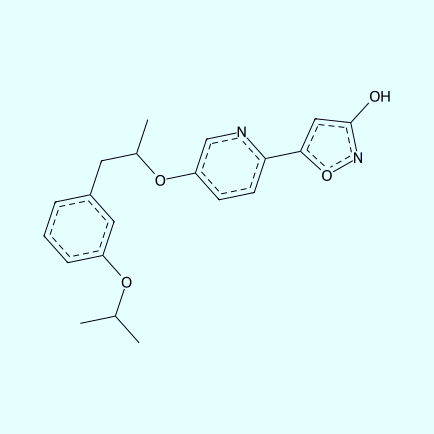 CC(C)Oc1cccc(CC(C)Oc2ccc(-c3cc(O)no3)nc2)c1